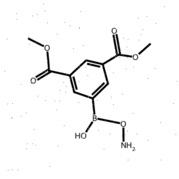 COC(=O)c1cc(B(O)ON)cc(C(=O)OC)c1